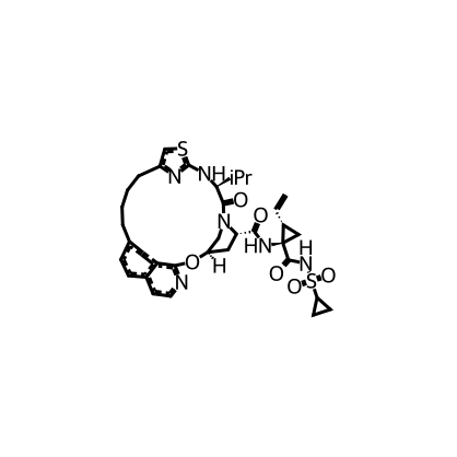 C=C[C@@H]1C[C@]1(NC(=O)[C@@H]1C[C@@H]2CN1C(=O)[C@H](C(C)C)Nc1nc(cs1)CCCCc1ccc3ccnc(c3c1)O2)C(=O)NS(=O)(=O)C1CC1